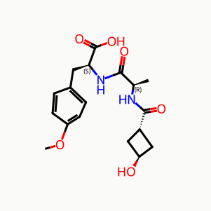 COc1ccc(C[C@H](NC(=O)[C@@H](C)NC(=O)[C@H]2C[C@H](O)C2)C(=O)O)cc1